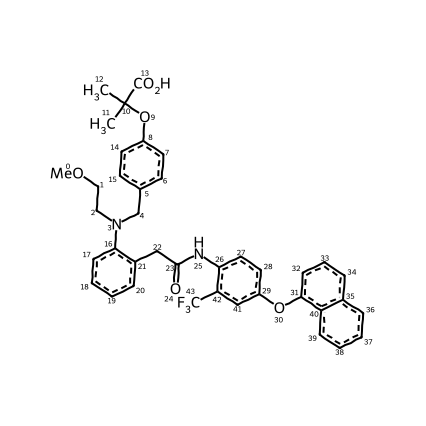 COCCN(Cc1ccc(OC(C)(C)C(=O)O)cc1)c1ccccc1CC(=O)Nc1ccc(Oc2cccc3ccccc23)cc1C(F)(F)F